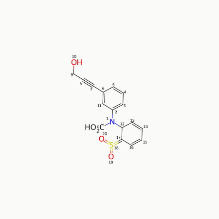 O=C(O)N(c1cccc(C#CCO)c1)C1C=CC=CC1=S(=O)=O